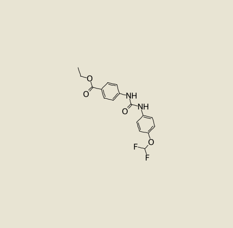 CCOC(=O)c1ccc(NC(=O)Nc2ccc(OC(F)F)cc2)cc1